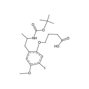 COc1cc(CC(C)NC(=O)OC(C)(C)C)c(OCCCC(=O)O)cc1I